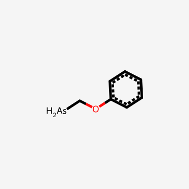 [AsH2]COc1ccccc1